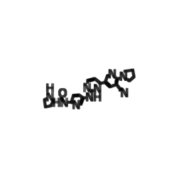 N#Cc1cc(-c2ccnc(Nc3ccc(NC(=O)[C@@H]4CCCN4)nc3)n2)cnc1N1CCCC1